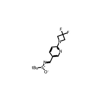 CC(C)(C)[S+]([O-])/N=C/c1ccc(N2CC(F)(F)C2)nc1